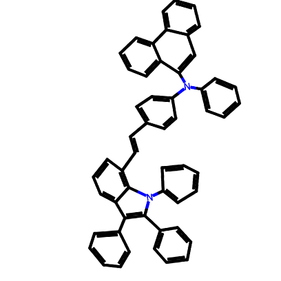 C(=C\c1cccc2c(-c3ccccc3)c(-c3ccccc3)n(-c3ccccc3)c12)/c1ccc(N(c2ccccc2)c2cc3ccccc3c3ccccc23)cc1